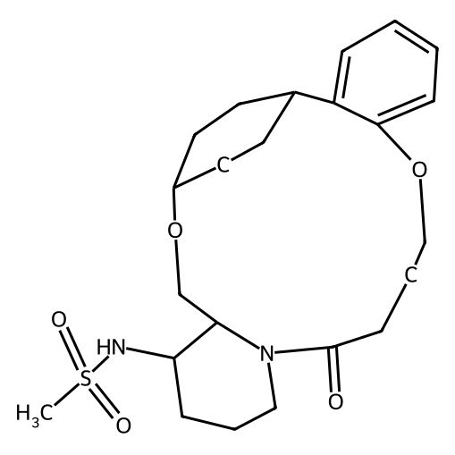 CS(=O)(=O)NC1CCCN2C(=O)CCCOc3ccccc3C3CCC(CC3)OCC12